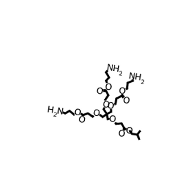 CC(C)COC(=O)CCOCC(COCCC(=O)OCCCN)(COCCC(=O)OCCCN)COCCC(=O)OCCCN